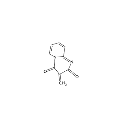 C=C1C(=O)N=C2C=CC=CN2C1=O